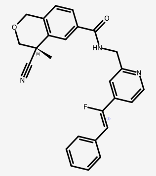 C[C@@]1(C#N)COCc2ccc(C(=O)NCc3cc(/C(F)=C/c4ccccc4)ccn3)cc21